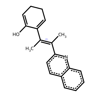 C/C(C1=CCCC=C1O)=C(/C)c1ccc2ccccc2n1